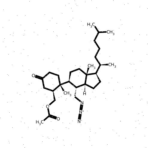 CC(=O)OC[C@H]1CC(=O)CC[C@]1(C)[C@H]1CC[C@]2(C)[C@@H]([C@H](C)CCCC(C)C)CC[C@H]2[C@@H]1CN=[N+]=[N-]